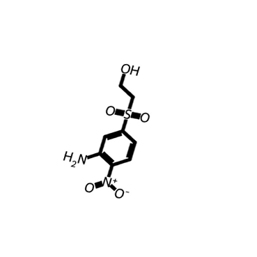 Nc1cc(S(=O)(=O)CCO)ccc1[N+](=O)[O-]